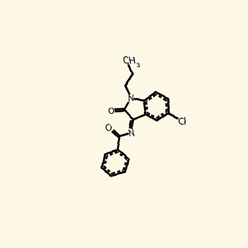 CCCN1C(=O)C(=NC(=O)c2ccccc2)c2cc(Cl)ccc21